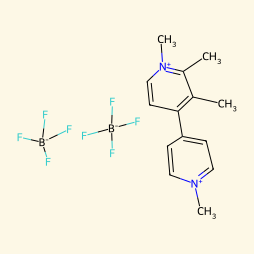 Cc1c(-c2cc[n+](C)cc2)cc[n+](C)c1C.F[B-](F)(F)F.F[B-](F)(F)F